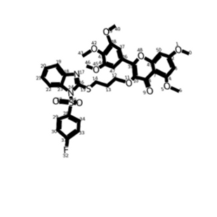 COc1cc(OC)c2c(=O)c(OCCCSc3nc4ccccc4n3S(=O)(=O)c3ccc(F)cc3)c(-c3cc(OC)c(OC)c(OC)c3)oc2c1